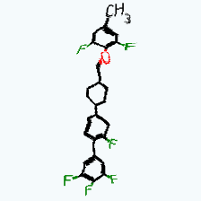 Cc1cc(F)c(OCC2CCC(c3ccc(-c4cc(F)c(F)c(F)c4)c(F)c3)CC2)c(F)c1